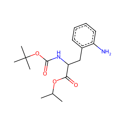 CC(C)OC(=O)C(Cc1ccccc1N)NC(=O)OC(C)(C)C